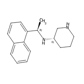 C[C@@H](N[C@H]1CCCNC1)c1cccc2ccccc12